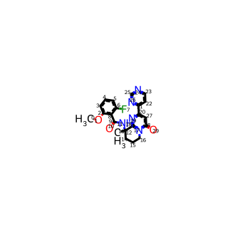 COc1cccc(F)c1C(=O)NC1(C)CCCn2c1nc(-c1ccncn1)cc2=O